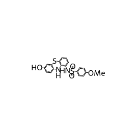 COc1ccc(S(=O)(=O)Nc2cccc3c2Nc2ccc(O)cc2S3)cc1